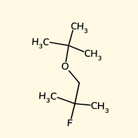 CC(C)(F)COC(C)(C)C